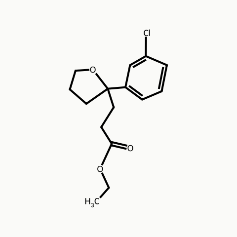 CCOC(=O)CCC1(c2cccc(Cl)c2)CCCO1